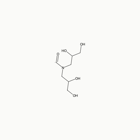 O=[C]N(CC(O)CO)CC(O)CO